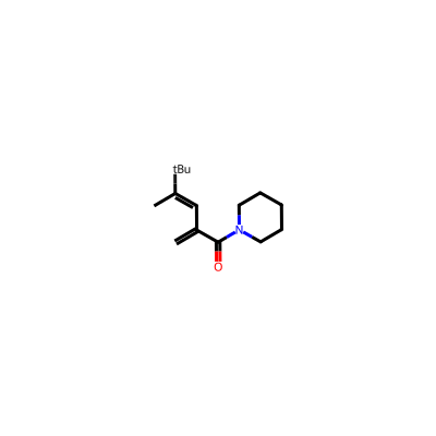 C=C(/C=C(\C)C(C)(C)C)C(=O)N1CCCCC1